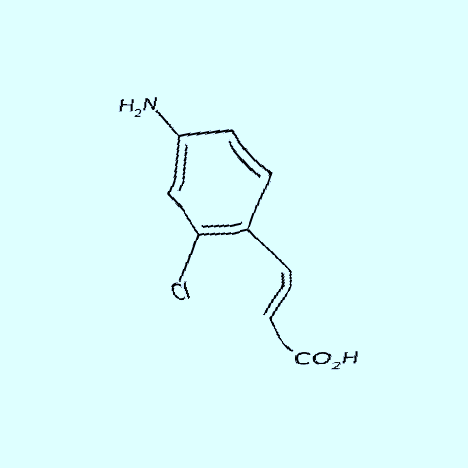 Nc1ccc(C=CC(=O)O)c(Cl)c1